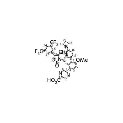 COc1ccc(-c2cnc(C(=O)O)cn2)cc1-c1ccc(N2CCC2)nc1CN1C(=O)OC(c2cc(C(F)(F)F)cc(C(F)(F)F)c2)C1C